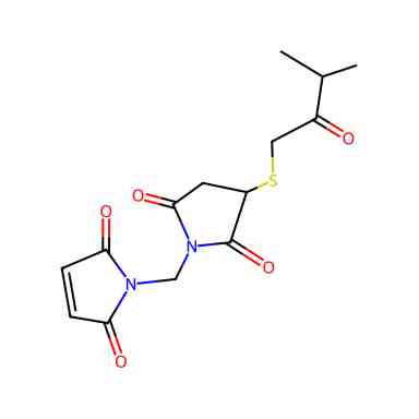 CC(C)C(=O)CSC1CC(=O)N(CN2C(=O)C=CC2=O)C1=O